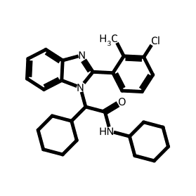 Cc1c(Cl)cccc1-c1nc2ccccc2n1C(C(=O)NC1CCCCC1)C1CCCCC1